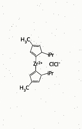 CC1=CC(C(C)C)[C]([Zr+2][C]2=CC(C)=CC2C(C)C)=C1.[Cl-].[Cl-]